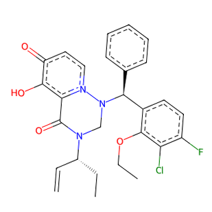 C=C[C@@H](CC)N1CN([C@@H](c2ccccc2)c2ccc(F)c(Cl)c2OCC)n2ccc(=O)c(O)c2C1=O